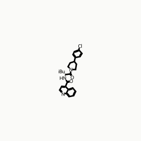 CC[C@@H](C)[C@@H](NC(=O)c1ccnc2ccccc12)C(=O)N1CCC(c2ccc(Cl)cc2)CC1